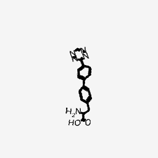 NC(Cc1ccc(-c2ccc(-c3nncnn3)cc2)cc1)C(=O)O